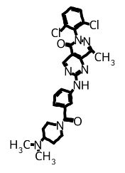 Cc1nn(-c2c(Cl)cccc2Cl)c(=O)c2cnc(Nc3cccc(C(=O)N4CCC(N(C)C)CC4)c3)nc12